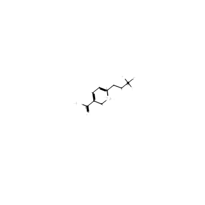 O=C(O)C1=CC=C(CCC(F)(F)F)NC1